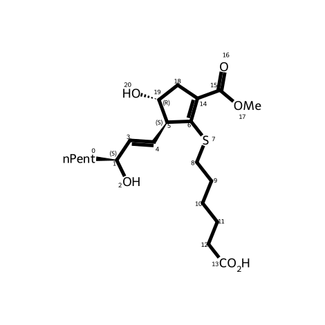 CCCCC[C@H](O)C=C[C@@H]1C(SCCCCCC(=O)O)=C(C(=O)OC)C[C@H]1O